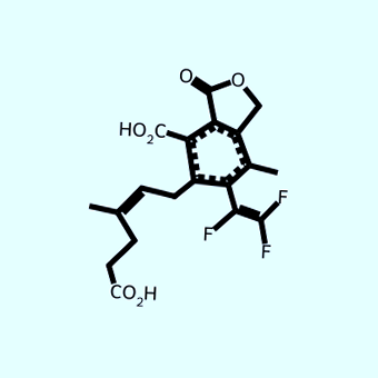 CC(=CCc1c(C(F)=C(F)F)c(C)c2c(c1C(=O)O)C(=O)OC2)CCC(=O)O